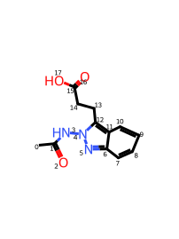 CC(=O)Nn1nc2ccccc2c1CCC(=O)O